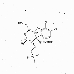 [N-]=[N+]=NC1(c2ccc(Cl)c(Cl)c2)[C@@H](O)[C@@H](CO)O[C@H](S)[C@@H]1OCC(F)(F)F